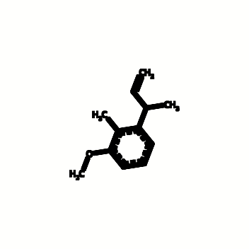 C=C[C](C)c1cccc(OC)c1C